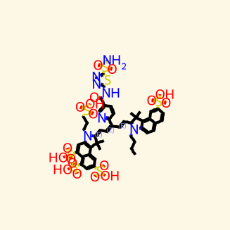 CCCC[N+]1=C(/C=C/C(=C/C=C2/N(CCCS(=O)(=O)O)c3cc(S(=O)(=O)O)c4c(S(=O)(=O)O)cc(S(=O)(=O)O)cc4c3C2(C)C)c2ccc(C(=O)Nc3nnc(S(N)(=O)=O)s3)cn2)C(C)(C)c2c1ccc1ccc(S(=O)(=O)O)cc21